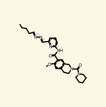 CCCC/C=N/N=C/c1cccc(NC(=O)c2cc3c(cc2OC)CCN(C(=O)N2CCCCC2)C3)n1